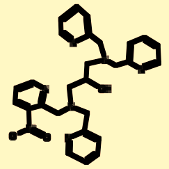 O=[N+]([O-])c1cccnc1CN(Cc1ccccn1)CC(O)CN(Cc1ccccn1)Cc1ccccn1